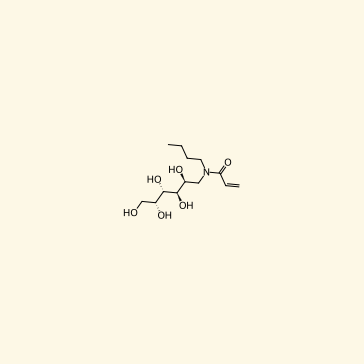 C=CC(=O)N(CCCC)C[C@H](O)[C@@H](O)[C@@H](O)[C@H](O)CO